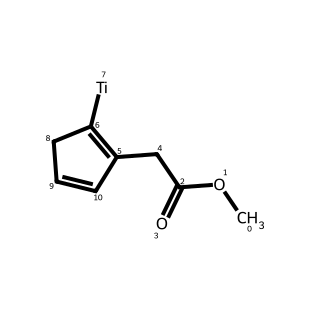 COC(=O)CC1=[C]([Ti])CC=C1